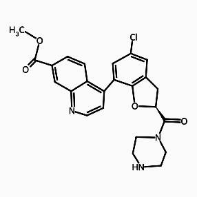 COC(=O)c1ccc2c(-c3cc(Cl)cc4c3O[C@H](C(=O)N3CCNCC3)C4)ccnc2c1